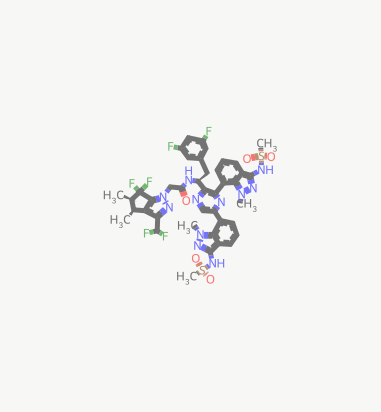 C[C@@H]1c2c(C(F)F)nn(CC(=O)N[C@@H](Cc3cc(F)cc(F)c3)c3ncc(-c4cccc5c(NS(C)(=O)=O)nn(C)c45)nc3-c3cccc4c(NS(C)(=O)=O)nn(C)c34)c2C(F)(F)[C@@H]1C